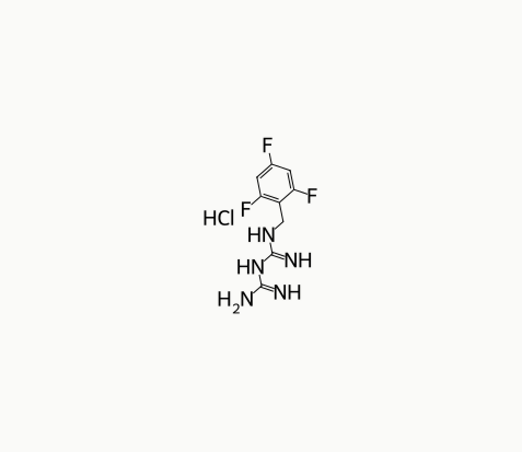 Cl.N=C(N)NC(=N)NCc1c(F)cc(F)cc1F